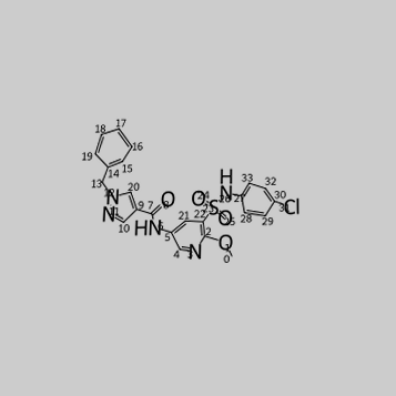 COc1ncc(NC(=O)c2cnn(Cc3ccccc3)c2)cc1S(=O)(=O)Nc1ccc(Cl)cc1